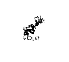 CCOC(=O)C1CCN(Cc2cccc(-c3nnc(-c4ccc(CC(C)C)c(C#N)c4)s3)c2CC)CC1